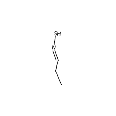 CCC=NS